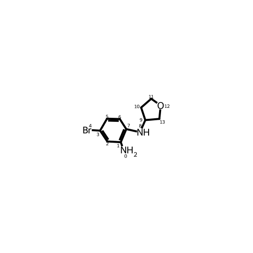 Nc1cc(Br)ccc1NC1CCOC1